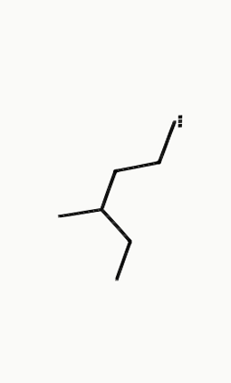 [C]CCC(C)CC